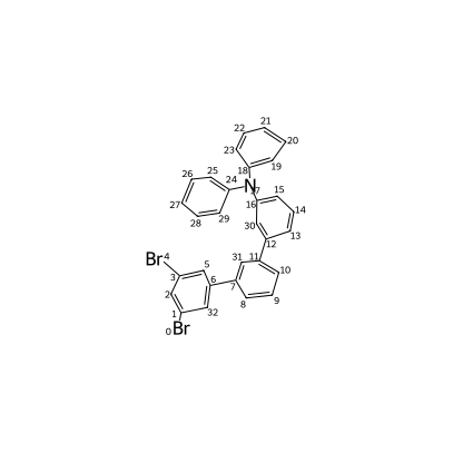 Brc1cc(Br)cc(-c2cccc(-c3cccc(N(c4ccccc4)c4ccccc4)c3)c2)c1